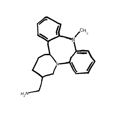 CN1c2ccccc2C2CCC(CN)CN2c2ccccc21